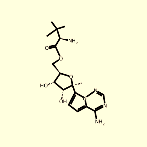 CC(C)(C)[C@@H](N)C(=O)OC[C@H]1O[C@@](C)(c2ccc3c(N)ncnn23)[C@H](O)[C@@H]1O